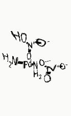 O=[N+]([O-])O.O=[N+]([O-])[O-].[NH2][Pd][NH2]